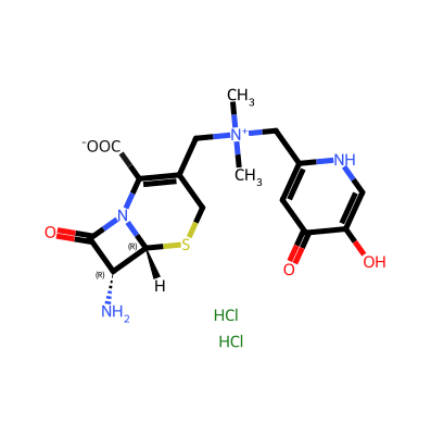 C[N+](C)(CC1=C(C(=O)[O-])N2C(=O)[C@@H](N)[C@H]2SC1)Cc1cc(=O)c(O)c[nH]1.Cl.Cl